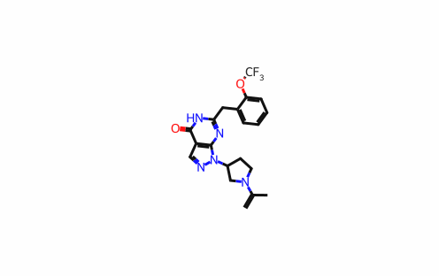 C=C(C)N1CCC(n2ncc3c(=O)[nH]c(Cc4ccccc4OC(F)(F)F)nc32)C1